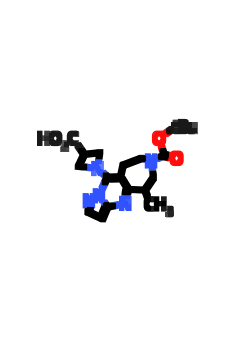 CC1CN(C(=O)OC(C)(C)C)CCc2c1nc1ccnn1c2N1CC(C(=O)O)C1